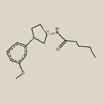 CCCCC(=O)N[C@H]1CCN(c2cccc(OC)c2)C1